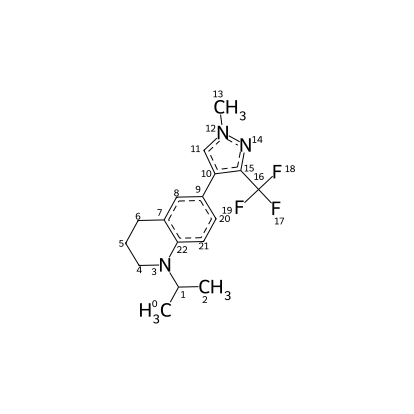 CC(C)N1CCCc2cc(-c3cn(C)nc3C(F)(F)F)ccc21